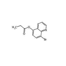 CCC(=O)Oc1ccc(Br)c2ncccc12